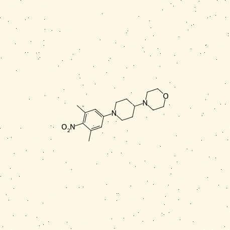 Cc1cc(N2CCC(N3CCOCC3)CC2)cc(C)c1[N+](=O)[O-]